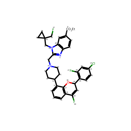 CCOC(=O)c1ccc2nc(CN3CCC(c4cccc5c4OC(c4ccc(Cl)cc4F)C=C5F)CC3)n(CC3(CF)CC3)c2c1